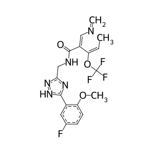 C=N/C=C(C(=O)NCc1n[nH]c(-c2cc(F)ccc2OC)n1)\C(=C/C)OC(F)(F)F